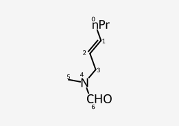 [CH2]CCC=CCN(C)C=O